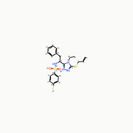 C=CCSc1nnc(C(Cc2ccccc2)NS(=O)(=O)c2ccc(F)cc2)n1CC